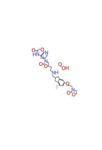 O=C1COc2ncc(N3CC(CCNCC4Cc5cc(OCCN6CCOC6=O)cc(F)c5C4)OC3=O)nc2N1.O=CO